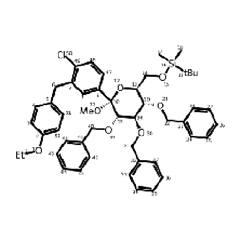 CCOc1ccc(Cc2cc([C@@]3(OC)O[C@@H](CO[Si](C)(C)C(C)(C)C)[C@H](OCc4ccccc4)[C@@H](OCc4ccccc4)[C@@H]3OCc3ccccc3)ccc2Cl)cc1